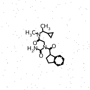 CC(C1CC1)N(C)C(=O)CN(C(N)=O)C(=O)C1CCc2ccccc21